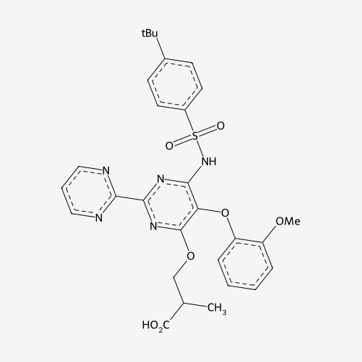 COc1ccccc1Oc1c(NS(=O)(=O)c2ccc(C(C)(C)C)cc2)nc(-c2ncccn2)nc1OCC(C)C(=O)O